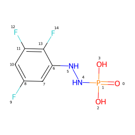 O=P(O)(O)NNc1cc(F)cc(F)c1F